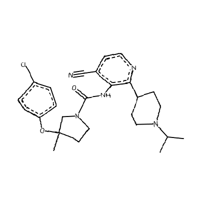 CC(C)N1CCC(c2nccc(C#N)c2NC(=O)N2CCC(C)(Oc3ccc(Cl)cc3)C2)CC1